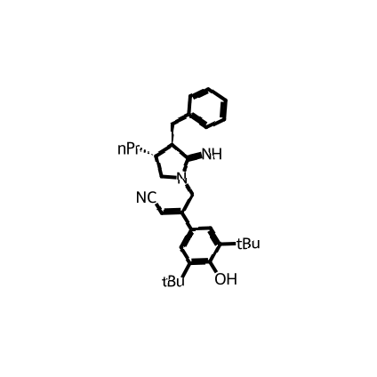 CCC[C@H]1CN(C/C(=C\C#N)c2cc(C(C)(C)C)c(O)c(C(C)(C)C)c2)C(=N)[C@@H]1Cc1ccccc1